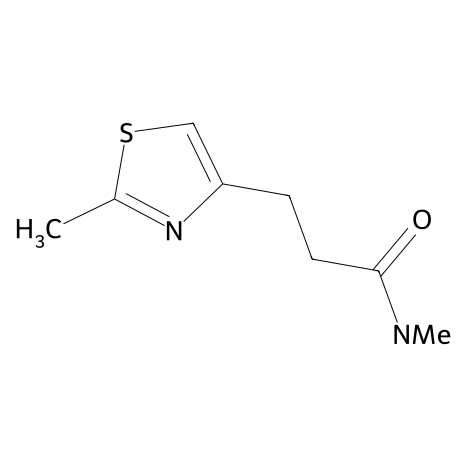 CNC(=O)CCc1csc(C)n1